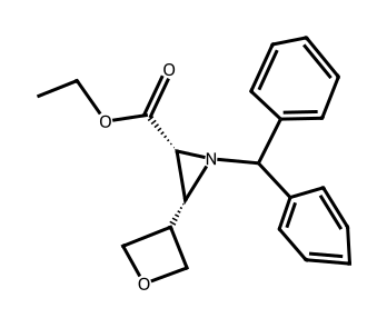 CCOC(=O)[C@H]1[C@@H](C2COC2)N1C(c1ccccc1)c1ccccc1